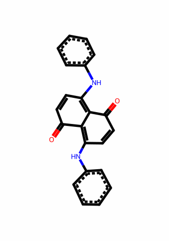 O=C1C=CC(Nc2ccccc2)=C2C(=O)C=CC(Nc3ccccc3)=C12